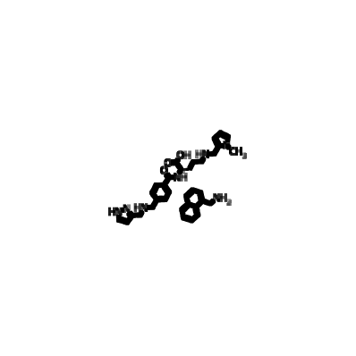 Cn1cccc1CNCCC[C@H](NC(=O)c1ccc(CNCc2cc[nH]n2)cc1)C(=O)O.NCc1cccc2ccccc12